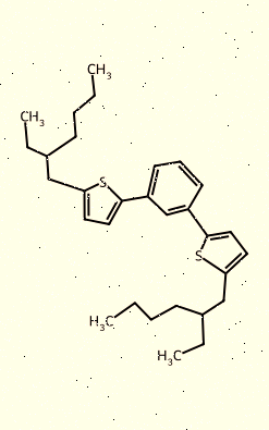 CCCCC(CC)Cc1ccc(-c2cccc(-c3ccc(CC(CC)CCCC)s3)c2)s1